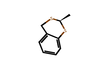 C[C@@H]1SCc2ccccc2S1